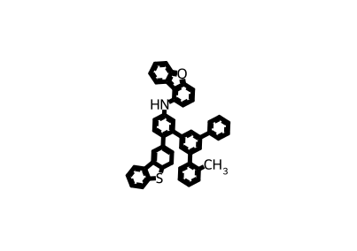 Cc1ccccc1-c1cc(-c2ccccc2)cc(-c2cc(Nc3cccc4oc5ccccc5c34)ccc2C2=CCC3Sc4ccccc4C3=C2)c1